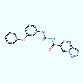 O=C(NC(=S)Nc1cccc(Oc2ccccc2)c1)c1cnc2ccnn2c1